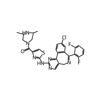 CC1CN(C(=O)c2csc(Nc3ncc4c(n3)-c3ccc(Cl)cc3C(c3c(F)cccc3F)=NC4)n2)CC(C)N1